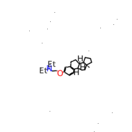 CCN(CC)CCOc1ccc2c(c1)CC[C@@H]1[C@H]3CCC[C@]3(C)CC[C@@H]21